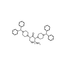 NCC(C(=O)C(CN)N1CCN(C(c2ccccc2)c2ccccc2)CC1)N1CCN(C(c2ccccc2)c2ccccc2)CC1